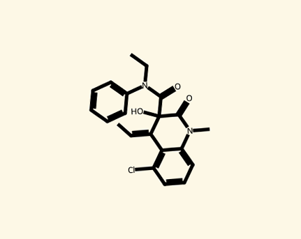 CC=C1c2c(Cl)cccc2N(C)C(=O)C1(O)C(=O)N(CC)c1ccccc1